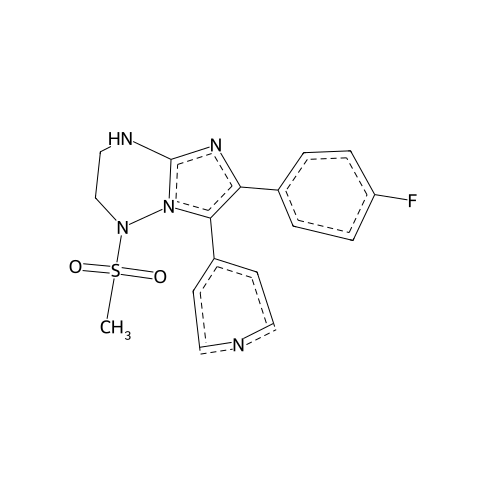 CS(=O)(=O)N1CCNc2nc(-c3ccc(F)cc3)c(-c3ccncc3)n21